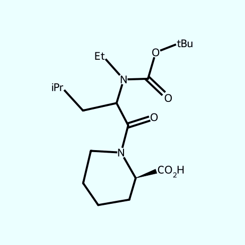 CCN(C(=O)OC(C)(C)C)C(CC(C)C)C(=O)N1CCCC[C@@H]1C(=O)O